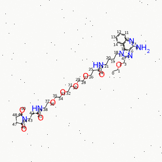 CCOCc1nc2c(N)nc3ccccc3c2n1CCCCNC(=O)CCOCCOCCOCCOCCNC(=O)CCN1C(=O)CCC1=O